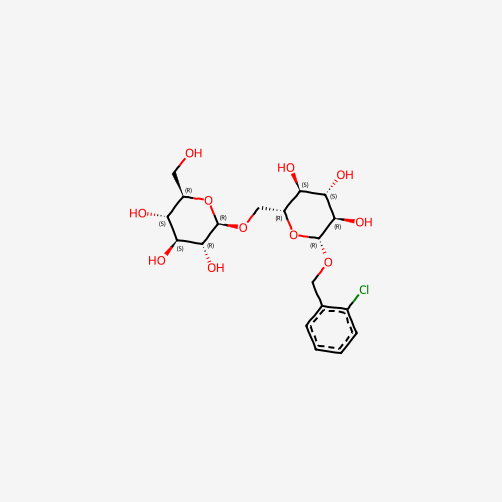 OC[C@H]1O[C@@H](OC[C@H]2O[C@@H](OCc3ccccc3Cl)[C@H](O)[C@@H](O)[C@@H]2O)[C@H](O)[C@@H](O)[C@@H]1O